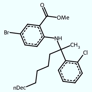 CCCCCCCCCCCCCCC(C)(Nc1ccc(Br)cc1C(=O)OC)c1ccccc1Cl